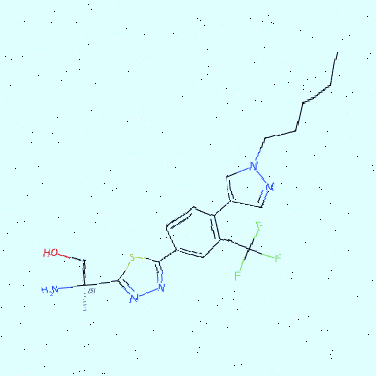 CCCCCn1cc(-c2ccc(-c3nnc([C@@](C)(N)CO)s3)cc2C(F)(F)F)cn1